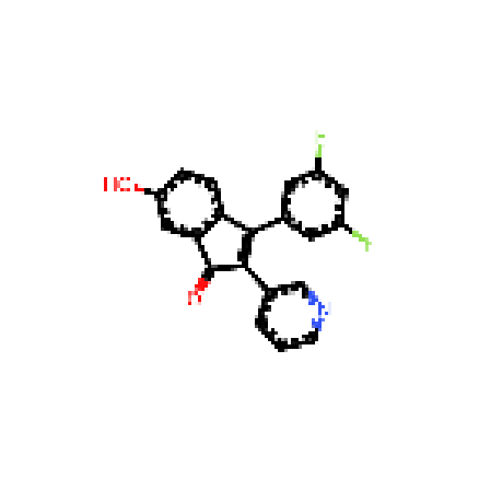 O=C1C(c2cccnc2)=C(c2cc(F)cc(F)c2)c2ccc(O)cc21